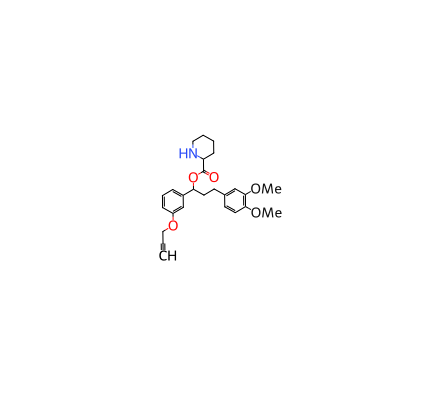 C#CCOc1cccc(C(CCc2ccc(OC)c(OC)c2)OC(=O)C2CCCCN2)c1